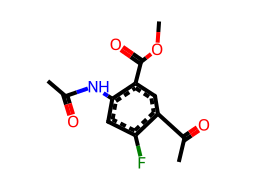 COC(=O)c1cc(C(C)=O)c(F)cc1NC(C)=O